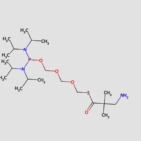 CC(C)N(C(C)C)P(OCOCOCSC(=O)C(C)(C)CN)N(C(C)C)C(C)C